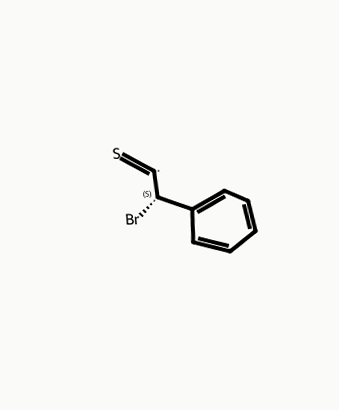 S=[C][C@@H](Br)c1ccccc1